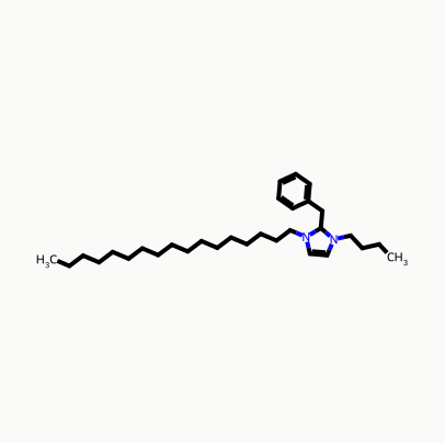 CCCCCCCCCCCCCCCCCN1C=CN(CCCC)C1Cc1ccccc1